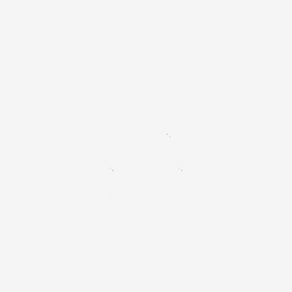 CCOC(=O)N1CCCC(NS(C)(=O)=O)C1COC1CCN(c2ccccc2F)CC1